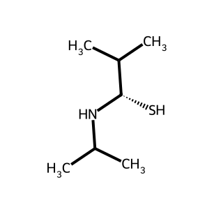 CC(C)N[C@@H](S)C(C)C